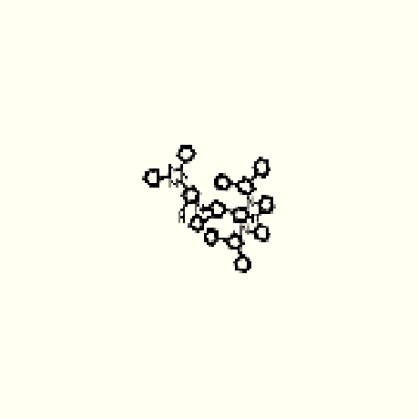 N#Cc1cc(-c2nc(-c3ccccc3)nc(-c3ccccc3)n2)ccc1-n1c2ccccc2c2cc(-c3cc4c5c(c3)N(c3cc(-c6ccccc6)cc(-c6ccccc6)c3)c3ccccc3B5c3ccccc3N4c3cc(-c4ccccc4)cc(-c4ccccc4)c3)ccc21